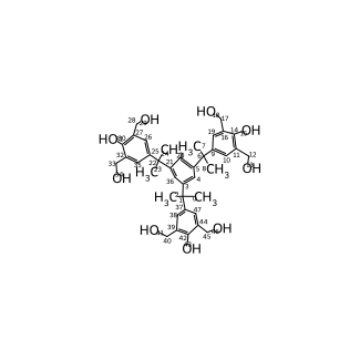 CC(C)(c1cc(C(C)(C)c2cc(CO)c(O)c(CO)c2)cc(C(C)(C)c2cc(CO)c(O)c(CO)c2)c1)c1cc(CO)c(O)c(CO)c1